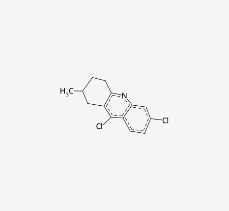 CC1CCc2nc3cc(Cl)ccc3c(Cl)c2C1